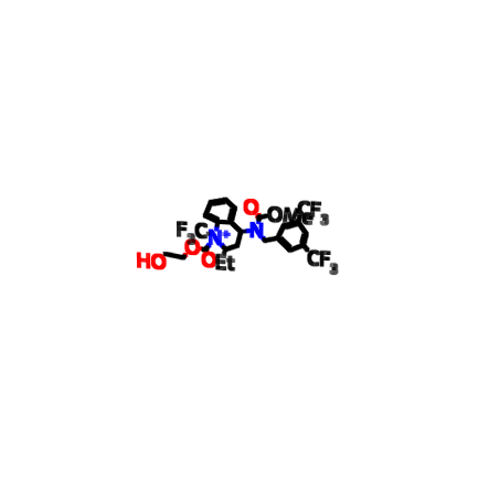 CC[C@@H]1C[C@H](N(Cc2cc(C(F)(F)F)cc(C(F)(F)F)c2)C(=O)OC)c2ccccc2[N+]1(C(=O)OCCO)C(F)(F)F